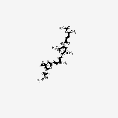 CC(=O)OC(C)C=CC(=O)N[C@@H]1C[C@H](C)[C@H](CC=C(C)C=C[C@@H]2C[C@]3(CO3)C[C@@H](CC(=O)NN)O2)O[C@@H]1C